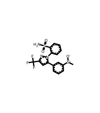 C[S+]([O-])c1cccc(-c2cc(C(F)(F)F)nn2-c2ccccc2S(N)(=O)=O)c1